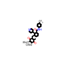 COC1=C(OC)C(=O)C(Cc2cccc(C(=O)Nc3ccc(C(F)(F)F)cc3)c2-c2ccncc2)=C(C)C1=O